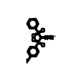 [N-]=[N+]=C(S(=O)(=O)c1ccccc1)S(=O)(=O)c1ccc(F)cc1